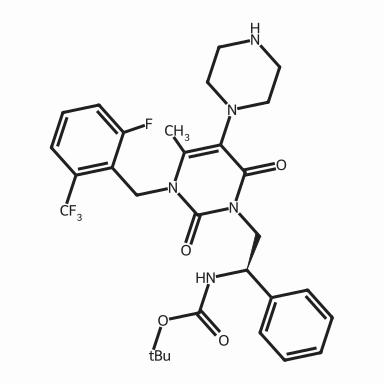 Cc1c(N2CCNCC2)c(=O)n(C[C@H](NC(=O)OC(C)(C)C)c2ccccc2)c(=O)n1Cc1c(F)cccc1C(F)(F)F